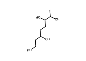 CC(O)C(O)CCC(O)CCO